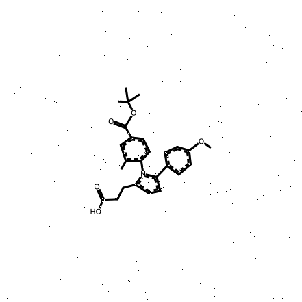 COc1ccc(-c2ccc(CCC(=O)O)n2-c2ccc(C(=O)OC(C)(C)C)cc2C)cc1